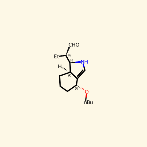 CCCCO[C@@H]1CCC[C@@H]2C1=CN[C@@H]2[C@H](C=O)CC